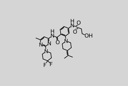 CC(C)=C1CCN(c2cc(NS(=O)(=O)CCO)ccc2C(=O)Nc2cc(C)nc(N3CCC(F)(F)CC3)n2)CC1